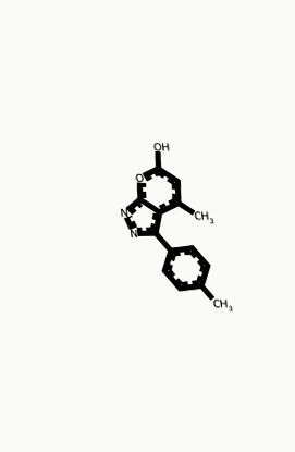 Cc1ccc(-c2nnc3oc(O)cc(C)c2-3)cc1